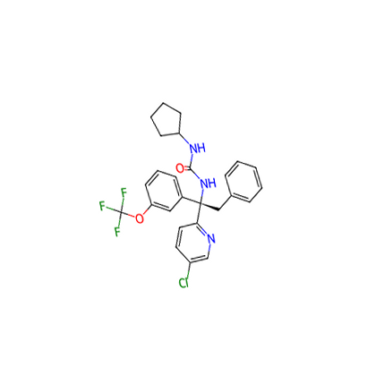 O=C(NC1CCCC1)N[C@@](Cc1ccccc1)(c1cccc(OC(F)(F)F)c1)c1ccc(Cl)cn1